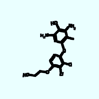 Cc1c(Oc2ccc(OCCO)c(Cl)c2Cl)cc(N)c(O)c1N